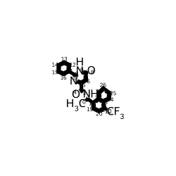 CC(NC(=O)c1cc(=O)[nH]c(-c2ccccc2)n1)c1ccc(C(F)(F)F)c2ccccc12